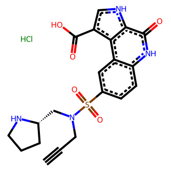 C#CCN(C[C@@H]1CCCN1)S(=O)(=O)c1ccc2[nH]c(=O)c3[nH]cc(C(=O)O)c3c2c1.Cl